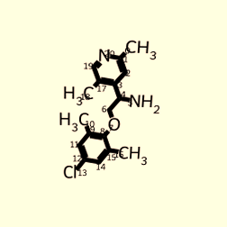 Cc1cc(C(N)COc2c(C)cc(Cl)cc2C)c(C)cn1